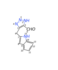 O=Cc1[nH]nnc1Cc1cc2ccccc2[nH]1